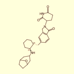 O=C1CCC(N2Cc3cc(C[C@H]4CCCC[C@@H]4NC4CC5CCC(C4)O5)ccc3C2=O)C(=O)N1